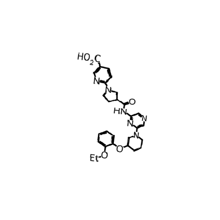 CCOc1ccccc1OC1CCCN(c2cncc(NC(=O)C3CCN(c4ccc(C(=O)O)cn4)C3)n2)C1